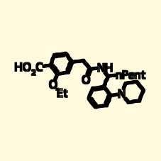 CCCCCC(NC(=O)Cc1ccc(C(=O)O)c(OCC)c1)c1ccccc1N1CCCCC1